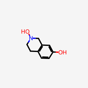 Oc1ccc2c(c1)CN(O)CC2